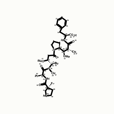 CC[C@H](C)[C@@H](C(CC(=O)N1CCC[C@H]1[C@H](OC)[C@@H](C)C(=O)N[C@@H](Cc1ccccc1)C(=O)O)OC)N(C)C(=O)[C@@H](NC(=O)[C@@]1(F)CCNC1)C(C)C